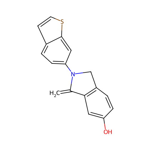 C=C1c2cc(O)ccc2CN1c1ccc2ccsc2c1